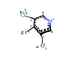 CCc1c(Cl)cncc1C(F)(F)F